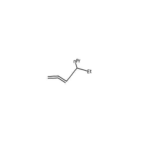 C=C=CC(CC)CCC